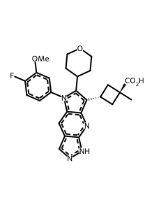 COc1cc(-n2c(C3CCOCC3)c([C@H]3C[C@](C)(C(=O)O)C3)c3nc4[nH]ncc4cc32)ccc1F